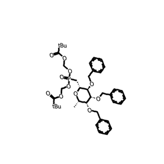 C[C@@H]1O[C@H](CP(=O)(OCOC(=O)C(C)(C)C)OCOC(=O)C(C)(C)C)[C@@H](OCc2ccccc2)[C@H](OCc2ccccc2)[C@@H]1OCc1ccccc1